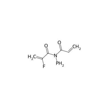 C=CC(=O)N(P)C(=O)C(=C)F